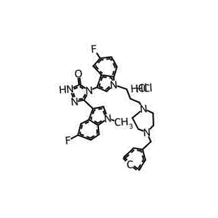 Cl.Cl.Cn1cc(-c2n[nH]c(=O)n2-c2cn(CCCN3CCN(Cc4ccccc4)CC3)c3ccc(F)cc23)c2cc(F)ccc21